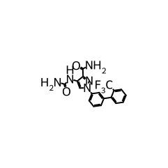 NC(=O)Nc1cn(-c2cccc(-c3ccccc3C(F)(F)F)c2)nc1C(N)=O